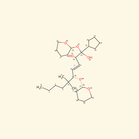 CCCCC(C)(C)[C@H](/C=C/C(O)C(O)(OC1CCCCO1)C1CCCC1)O[C@H]1CCCCO1